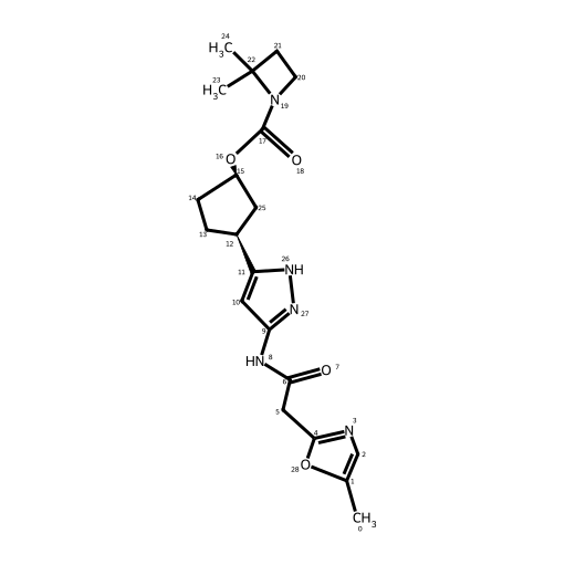 Cc1cnc(CC(=O)Nc2cc([C@H]3CC[C@@H](OC(=O)N4CCC4(C)C)C3)[nH]n2)o1